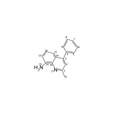 Cc1cc(-c2ccccc2)c2cccc(N)c2n1